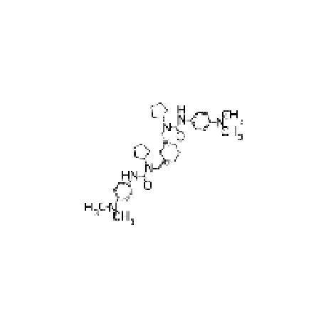 CN(C)c1ccc(NC(=O)N(C[C@@H]2CCC[C@@H](CN(C(=O)Nc3ccc(N(C)C)cc3)C3CCCC3)C2)C2CCCC2)cc1